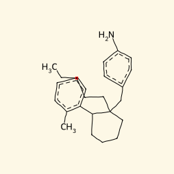 CCCCCC1(Cc2ccc(N)cc2)CCCCC1c1ccccc1C